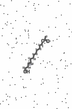 CC(=O)OCCCCCCCC/C=C/CCO